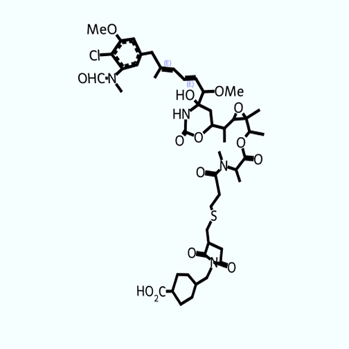 COc1cc(C/C(C)=C/C=C/C(OC)C2(O)CC(C(C)C3OC3(C)C(C)OC(=O)C(C)N(C)C(=O)CCSCC3CC(=O)N(CC4CCC(C(=O)O)CC4)C3=O)OC(=O)N2)cc(N(C)C=O)c1Cl